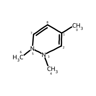 CC1=CN(C)N(C)C=C1